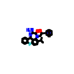 CC(C)c1cccc2c1N(CC(=O)N1CC3CCC(CC3)C1)C(=O)C(N)N=C2c1ccccc1F